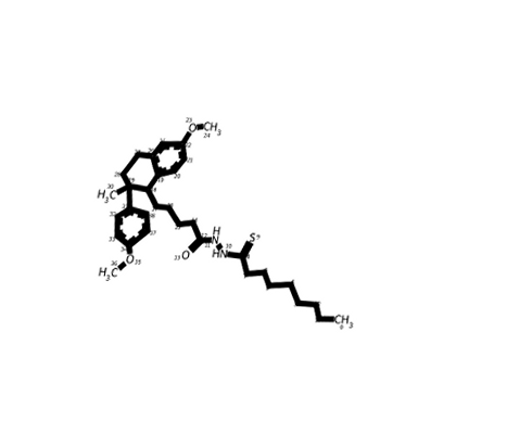 CCCCCCCCC(=S)NNC(=O)CCCCC1c2ccc(OC)cc2CCC1(C)c1ccc(OC)cc1